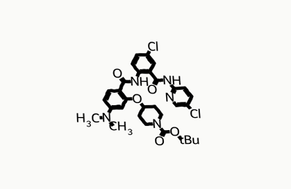 CN(C)c1ccc(C(=O)Nc2ccc(Cl)cc2C(=O)Nc2ccc(Cl)cn2)c(OC2CCN(C(=O)OC(C)(C)C)CC2)c1